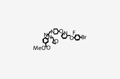 COC(=O)c1ccc2nc(CN3CCC(Oc4cccc(COc5ccc(Br)cc5F)n4)CC3)n(CC3CCO3)c2c1